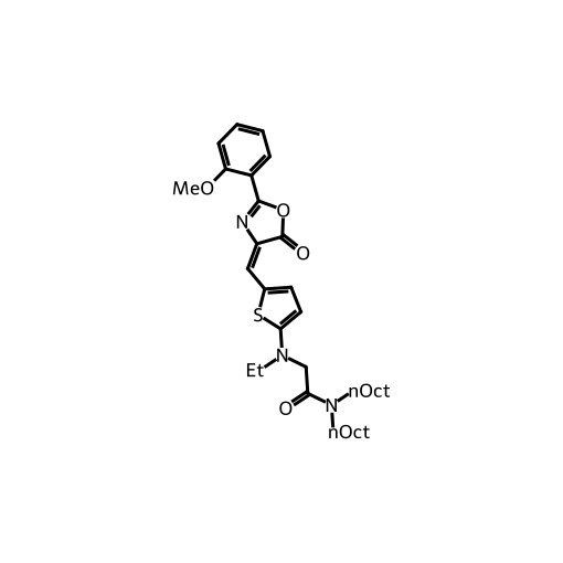 CCCCCCCCN(CCCCCCCC)C(=O)CN(CC)c1ccc(/C=C2/N=C(c3ccccc3OC)OC2=O)s1